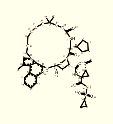 C=C[C@@H]1C[C@]1(NC(=O)[C@@H]1C[C@@H]2CN1C(=O)[C@H](C1CCCC1)NC(=O)OCC(C)(C)CCCCCCn1cc(C)c3c4ccccc4nc(c31)O2)C(=O)NS(=O)(=O)C1CC1